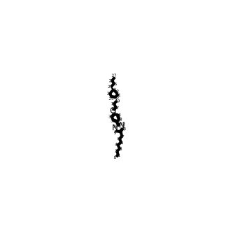 CCCCCCCCc1cnc(-c2ccc(OCCC[C@H]3CC[C@H](CCCC)CC3)cc2)nc1